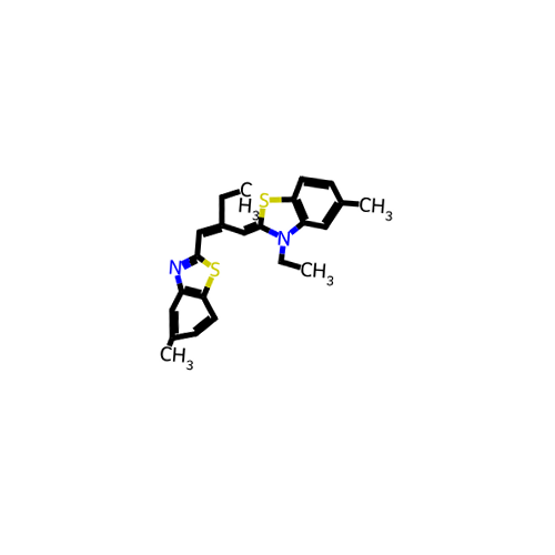 CCC(=Cc1nc2cc(C)ccc2s1)C=C1Sc2ccc(C)cc2N1CC